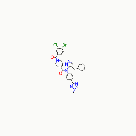 Cn1cnc(-c2ccc(-n3c(=O)c4c(n5ncc(Cc6ccccc6)c35)CN(C(=O)c3ccc(Br)c(Cl)c3)CC4)cc2)n1